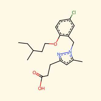 CCC(C)CCOc1ccc(Cl)cc1Cn1nc(CCC(=O)O)cc1C